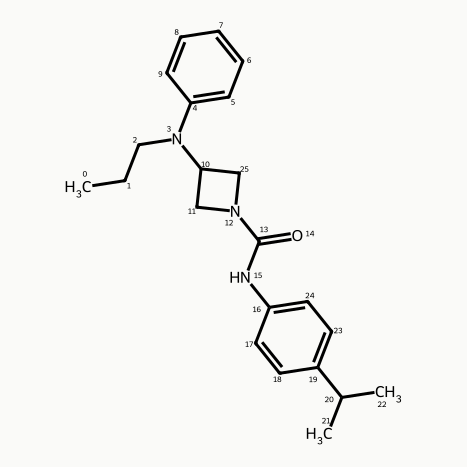 CCCN(c1ccccc1)C1CN(C(=O)Nc2ccc(C(C)C)cc2)C1